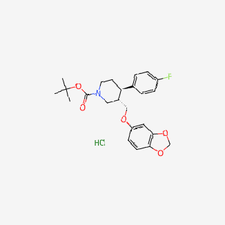 CC(C)(C)OC(=O)N1CC[C@@H](c2ccc(F)cc2)[C@H](COc2ccc3c(c2)OCO3)C1.Cl